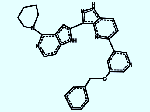 c1ccc(COc2cncc(-c3ccc4[nH]nc(-c5cc6c(N7CCCCC7)nccc6[nH]5)c4n3)c2)cc1